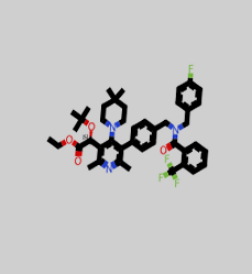 CCOC(=O)[C@@H](OC(C)(C)C)c1c(C)nc(C)c(-c2ccc(CN(Cc3ccc(F)cc3)C(=O)c3ccccc3C(F)(F)F)cc2)c1N1CCC(C)(C)CC1